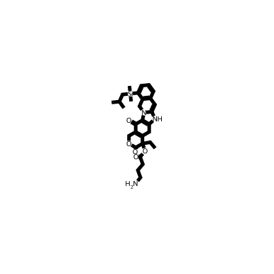 CCC1(OC(=O)CCCN)C(=O)OCC2=C1CC1=C(C2=O)N2Cc3c(cccc3[Si](C)(C)CC(C)C)C=C2N1